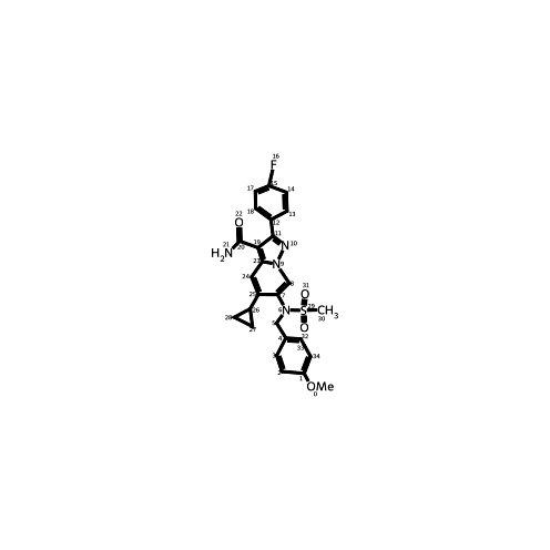 COc1ccc(CN(c2cn3nc(-c4ccc(F)cc4)c(C(N)=O)c3cc2C2CC2)S(C)(=O)=O)cc1